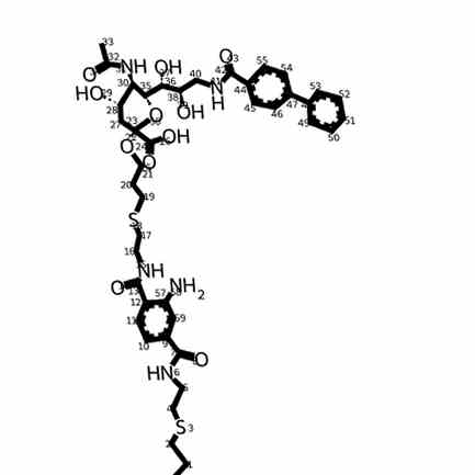 CCCSCCNC(=O)c1ccc(C(=O)NCCSCCCO[C@]2(C(=O)O)C[C@H](O)[C@@H](NC(C)=O)[C@H]([C@H](O)[C@H](O)CNC(=O)c3ccc(-c4ccccc4)cc3)O2)c(N)c1